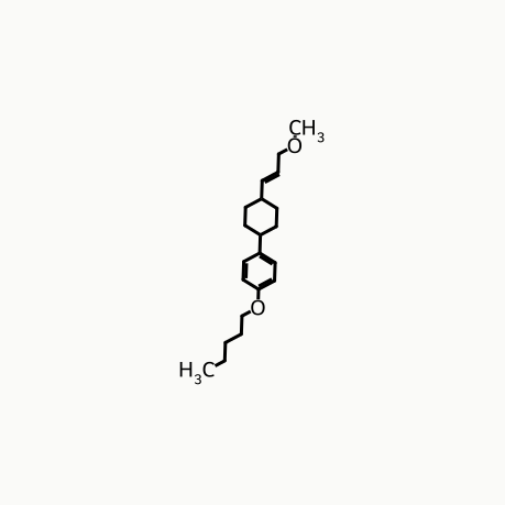 CCCCCOc1ccc(C2CCC(C=CCOC)CC2)cc1